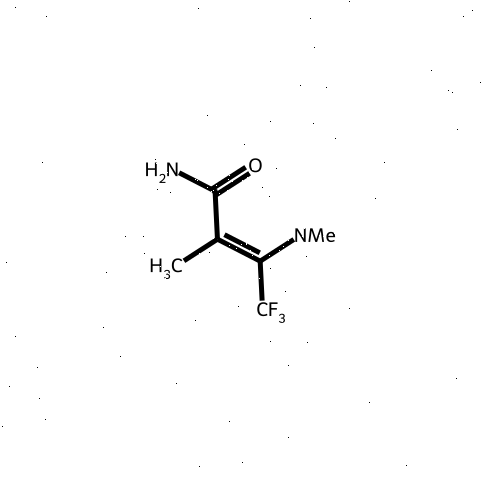 CN/C(=C(/C)C(N)=O)C(F)(F)F